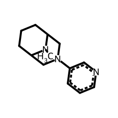 CN1C2CCCC1CN(c1cccnc1)C2